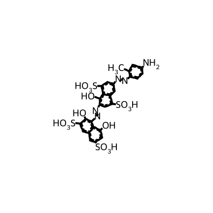 Cc1cc(N)ccc1N=Nc1cc(S(=O)(=O)O)c2c(O)c(N=Nc3c(O)c(S(=O)(=O)O)cc4cc(S(=O)(=O)O)cc(O)c34)cc(S(=O)(=O)O)c2c1